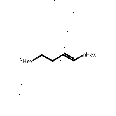 CCCCCC/C=C/CCCCCCCC